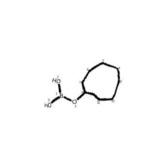 OB(O)OC1CCCCCCC1